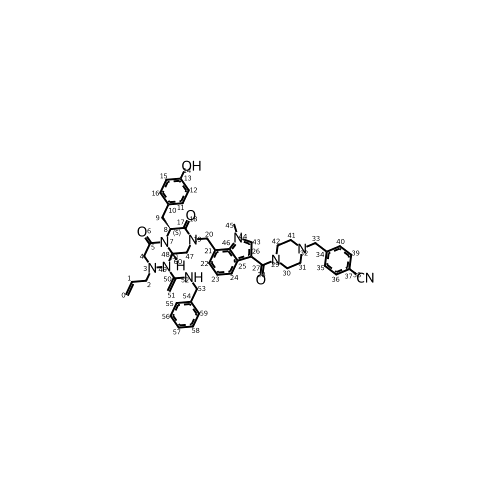 C=CCN1CC(=O)N2[C@@H](Cc3ccc(O)cc3)C(=O)N(Cc3cccc4c(C(=O)N5CCN(Cc6ccc(C#N)cc6)CC5)cn(C)c34)C[C@@H]2N1C(=C)NCc1ccccc1